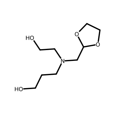 OCCCN(CCO)CC1OCCO1